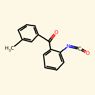 Cc1cccc(C(=O)c2ccccc2N=C=O)c1